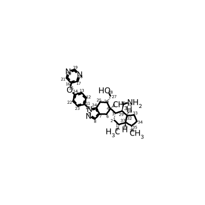 C[C@@H]1C[C@H]([C@@]2(C)Cc3cnn(-c4ccc(Oc5cncnc5)cc4)c3C[C@@H]2CO)[C@@H](CN)[C@H]2CC[C@H](C)[C@@H]21